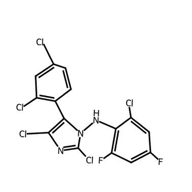 Fc1cc(F)c(Nn2c(Cl)nc(Cl)c2-c2ccc(Cl)cc2Cl)c(Cl)c1